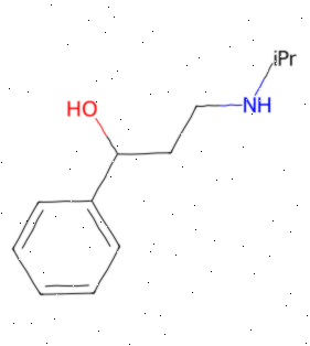 CC(C)NCCC(O)c1ccccc1